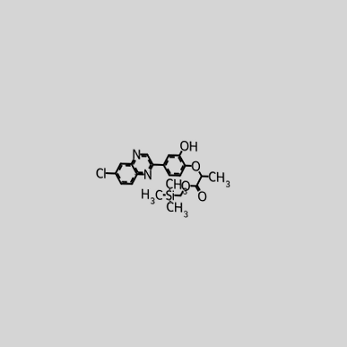 CC(Oc1ccc(-c2cnc3cc(Cl)ccc3n2)cc1O)C(=O)OC[Si](C)(C)C